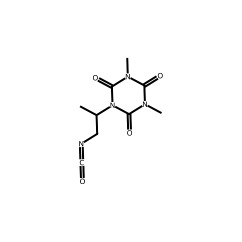 CC(CN=C=O)n1c(=O)n(C)c(=O)n(C)c1=O